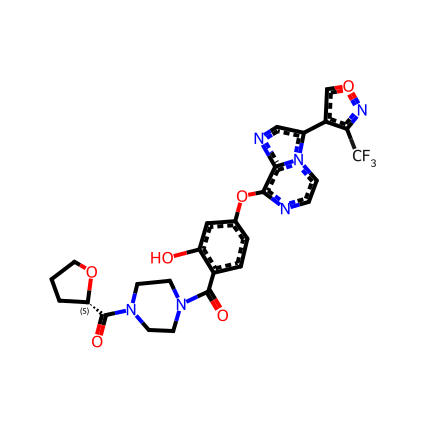 O=C(c1ccc(Oc2nccn3c(-c4conc4C(F)(F)F)cnc23)cc1O)N1CCN(C(=O)[C@@H]2CCCO2)CC1